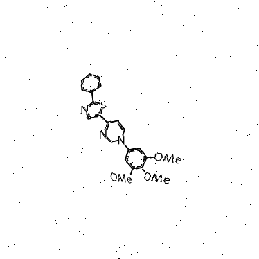 COc1cc(N2C=CC(c3cnc(-c4ccccc4)s3)=NC2)cc(OC)c1OC